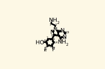 NCCn1nc(-c2cc(O)c(F)c(F)c2)c2c(N)ncnc21